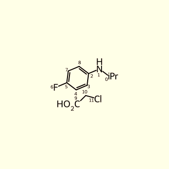 CC(C)Nc1ccc(F)cc1.O=C(O)CCl